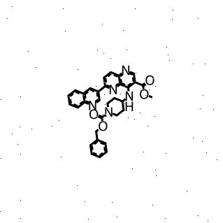 COC(=O)c1cnc2ccc(-c3cnc4ccccc4c3)nc2c1NC1CCN(C(=O)OCc2ccccc2)CC1